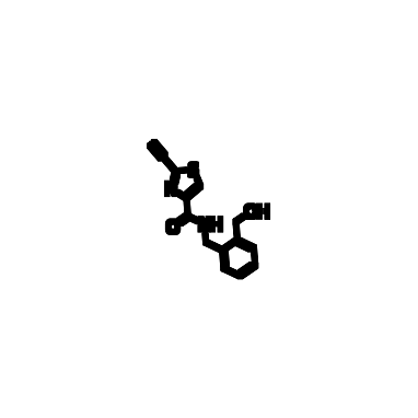 C#Cc1nc(C(=O)NCc2ccccc2CO)cs1